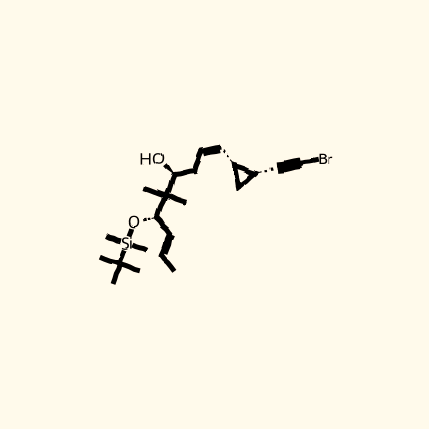 C/C=C/[C@H](O[Si](C)(C)C(C)(C)C)C(C)(C)[C@@H](O)C/C=C\[C@H]1C[C@H]1C#CBr